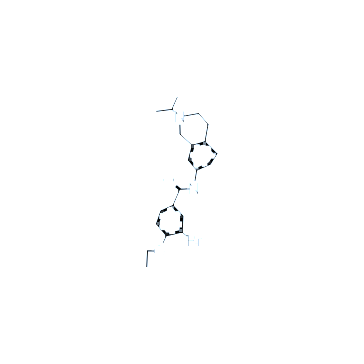 CCOc1ccc(C(=O)Nc2ccc3c(c2)CN(C(C)C)CC3)cc1Br